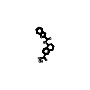 O=C(NO)c1ccc2c(c1)CCCC2NC(=O)c1cc2ccccc2o1